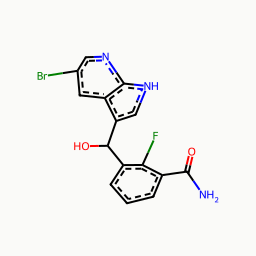 NC(=O)c1cccc(C(O)c2c[nH]c3ncc(Br)cc23)c1F